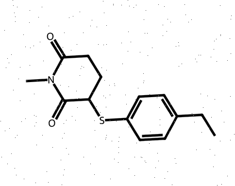 CCc1ccc(SC2CCC(=O)N(C)C2=O)cc1